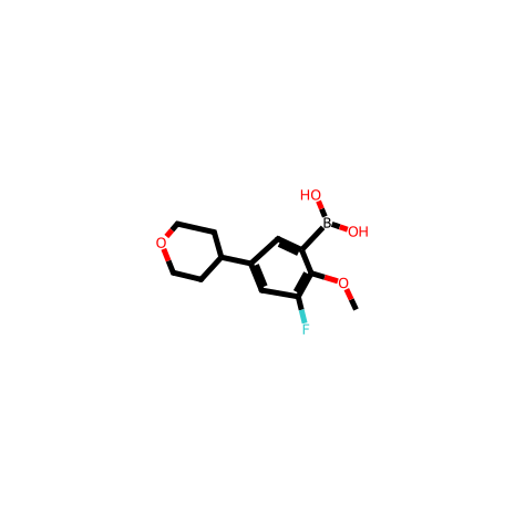 COc1c(F)cc(C2CCOCC2)cc1B(O)O